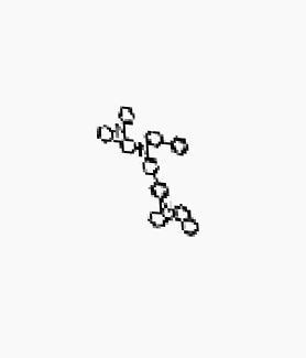 c1ccc(-c2cccc(N(c3ccc(-c4ccc(-n5c6ccccc6c6c7ccccc7ccc65)cc4)cc3)c3ccc4c5ccccc5n(-c5ccccc5)c4c3)c2)cc1